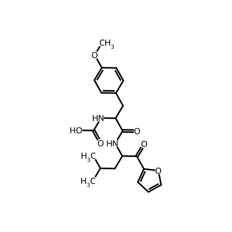 COc1ccc(CC(NC(=O)O)C(=O)NC(CC(C)C)C(=O)c2ccco2)cc1